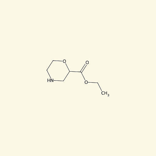 CCOC(=O)C1CNCCO1